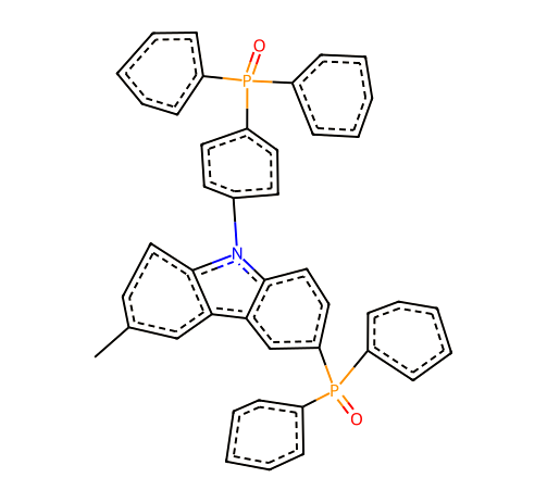 Cc1ccc2c(c1)c1cc(P(=O)(c3ccccc3)c3ccccc3)ccc1n2-c1ccc(P(=O)(c2ccccc2)c2ccccc2)cc1